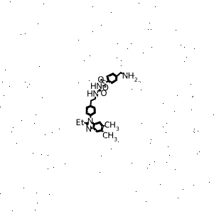 CCc1nc2cc(C)c(C)cc2n1-c1ccc(CCNC(=O)NS(=O)(=O)c2ccc(CN)cc2)cc1